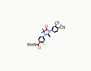 C=C1N(c2ccc(C#N)c(C(F)(F)F)c2)C(=O)C(C)(C)N1c1ccc(C(=O)NC)c(F)c1